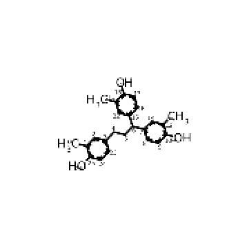 Cc1cc(CCC(c2ccc(O)c(C)c2)c2ccc(O)c(C)c2)ccc1O